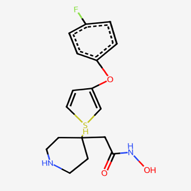 O=C(CC1([SH]2C=CC(Oc3ccc(F)cc3)=C2)CCNCC1)NO